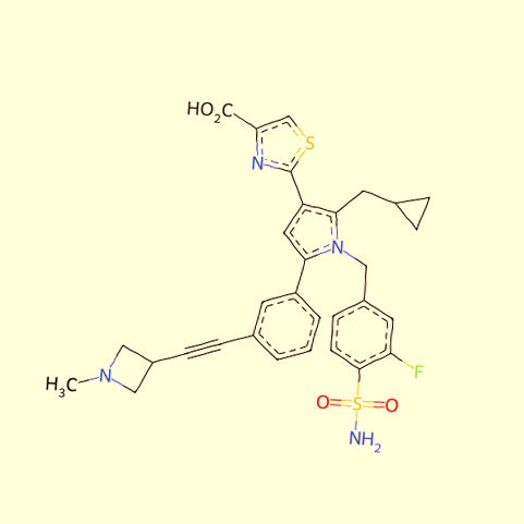 CN1CC(C#Cc2cccc(-c3cc(-c4nc(C(=O)O)cs4)c(CC4CC4)n3Cc3ccc(S(N)(=O)=O)c(F)c3)c2)C1